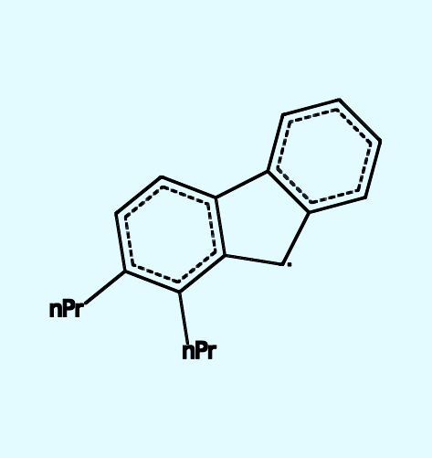 CCCc1ccc2c(c1CCC)[CH]c1ccccc1-2